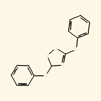 c1ccc(NC2=NC(Nc3ccccc3)NN2)cc1